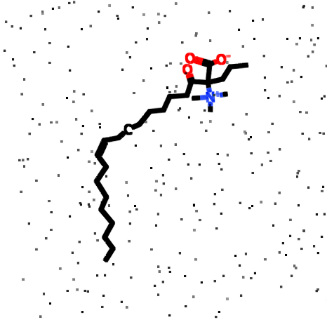 CCCCCCCC/C=C\CCCCCCCC(=O)C(CCC)(C(=O)[O-])[N+](C)(C)C